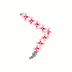 O=P([O-])([O-])[O-].O=P([O-])([O-])[O-].O=P([O-])([O-])[O-].O=P([O-])([O-])[O-].O=P([O-])([O-])[O-].O=P([O-])([O-])[O-].O=P([O-])([O-])[O-].O=P([O-])([O-])[O-].[Bi+3].[Bi+3].[Bi+3].[Nb+5].[Nb+5].[Nb+5]